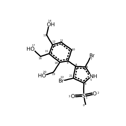 CS(=O)(=O)c1[nH]c(Br)c(-c2ccc(CO)c(CO)c2CO)c1Br